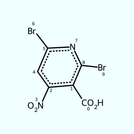 O=C(O)c1c([N+](=O)[O-])cc(Br)nc1Br